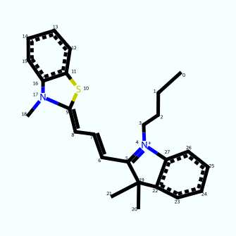 CCCC[N+]1=C(C=CC=C2Sc3ccccc3N2C)C(C)(C)c2ccccc21